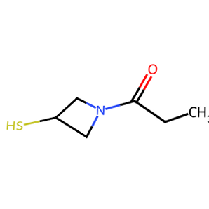 CCC(=O)N1CC(S)C1